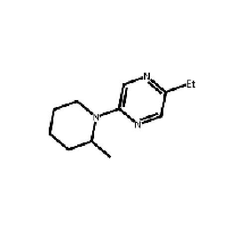 CCc1cnc(N2CCCCC2C)cn1